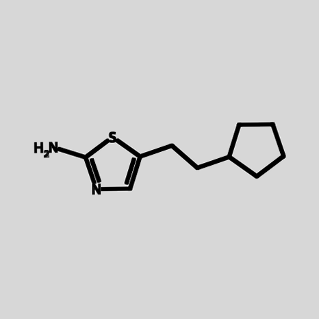 Nc1ncc(CCC2CCCC2)s1